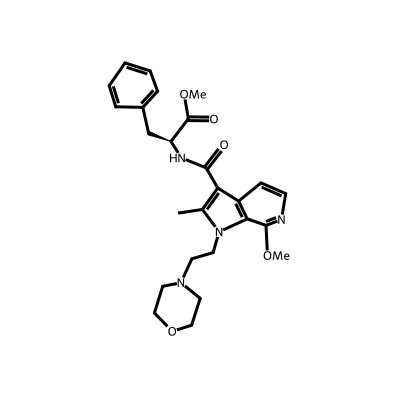 COC(=O)[C@H](Cc1ccccc1)NC(=O)c1c(C)n(CCN2CCOCC2)c2c(OC)nccc12